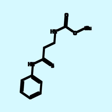 CC(C)(C)OC(=O)NCCC(=S)Nc1ccccc1